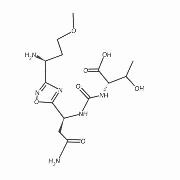 COCC[C@H](N)c1noc([C@H](CC(N)=O)NC(=O)N[C@H](C(=O)O)C(C)O)n1